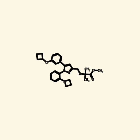 COC(=O)C(C)(C)OCc1cc(-c2cccc(OC3CCC3)c2)n(-c2ccccc2N2CCC2)n1